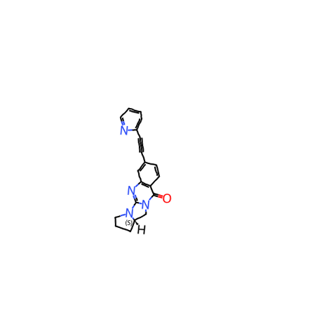 O=c1c2ccc(C#Cc3ccccn3)cc2nc2n1C[C@@H]1CCCN21